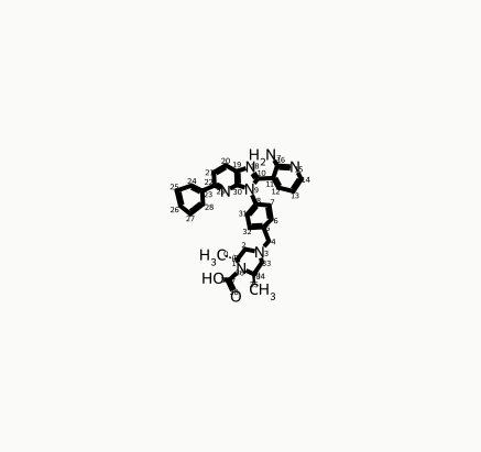 C[C@@H]1CN(Cc2ccc(-n3c(-c4cccnc4N)nc4ccc(-c5ccccc5)nc43)cc2)C[C@@H](C)N1C(=O)O